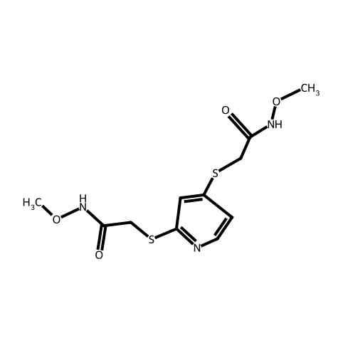 CONC(=O)CSc1ccnc(SCC(=O)NOC)c1